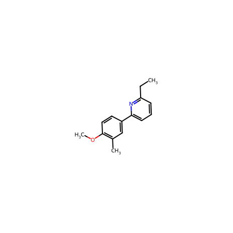 CCc1cccc(-c2ccc(OC)c(C)c2)n1